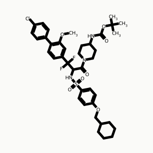 COc1cc(C(F)(F)C(NS(=O)(=O)c2ccc(OCC3CCCCC3)cc2)C(=O)N2CCC(NC(=O)OC(C)(C)C)CC2)ccc1-c1ccc(Cl)cc1